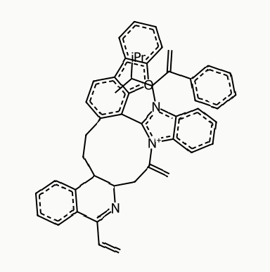 C=CC1=NC2CC(=C)[n+]3c(n(C(C(=C)c4ccccc4)C(C)C(C)C)c4ccccc43)-c3c(ccc4c3oc3ccccc34)CCC2c2ccccc21